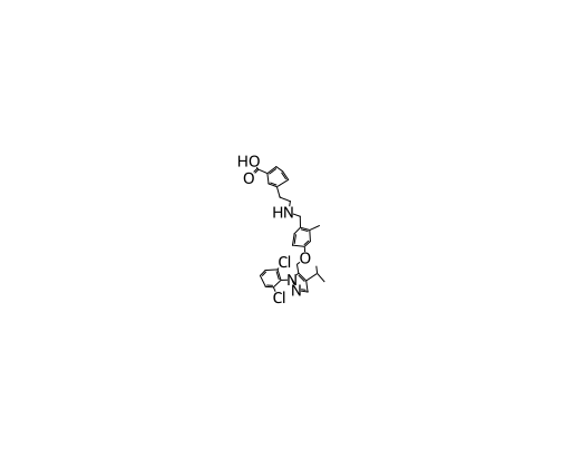 Cc1cc(OCc2c(C(C)C)cnn2-c2c(Cl)cccc2Cl)ccc1CNCCc1cccc(C(=O)O)c1